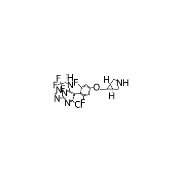 C[C@H](Nc1c(-c2c(F)cc(OCC3[C@H]4CNC[C@@H]34)cc2F)c(Cl)nc2ncnn12)C(F)(F)F